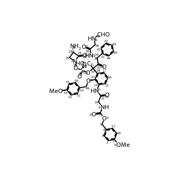 COc1ccc(COC(=O)NCC(=O)Nc2cccc(C(OS(=O)(=O)ON3C[C@H](N)C3=O)(C(=O)O)C(=O)[C@H](NC(=O)CNC=O)c3ccccc3)c2OCc2ccc(OC)cc2)cc1